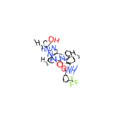 Cc1ccc(NC(=O)c2cccc(C(F)(F)F)c2)cc1N1Cc2cnc(N[C@@H](C)CO)nc2N(C)C1=O